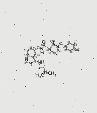 CN(C)CCNc1ccnc2ccc(CNC(=O)c3cncn(Cc4ccc(F)c(F)c4)c3=O)cc12